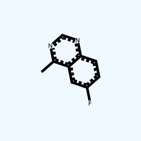 Cc1ncnc2ccc(F)cc12